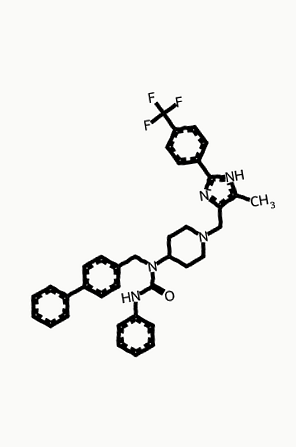 Cc1[nH]c(-c2ccc(C(F)(F)F)cc2)nc1CN1CCC(N(Cc2ccc(-c3ccccc3)cc2)C(=O)Nc2ccccc2)CC1